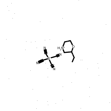 CCC1C[NH2+]CCO1.N#C[B-](C#N)(C#N)C#N